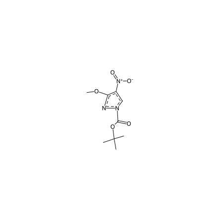 COc1nn(C(=O)OC(C)(C)C)cc1[N+](=O)[O-]